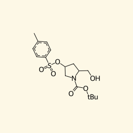 Cc1ccc(S(=O)(=O)OC2CC(CO)N(C(=O)OC(C)(C)C)C2)cc1